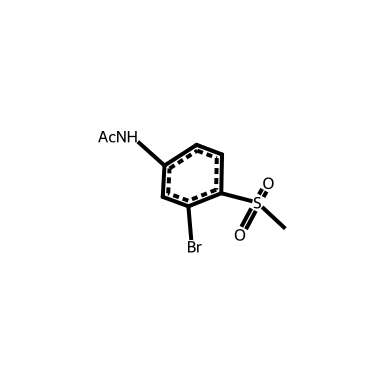 CC(=O)Nc1ccc(S(C)(=O)=O)c(Br)c1